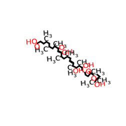 C[C@H](C[C@@H](C)CCC(=O)O)C[C@@H](C)C(=O)/C=C(\O)[C@H](C)C[C@H](C)C/C=C/[C@@H](C)[C@H](O)[C@@H](C)[C@@H](O)C[C@H]1CC[C@](C)([C@@H]2CC[C@](C)([C@H](C)O)O2)O1